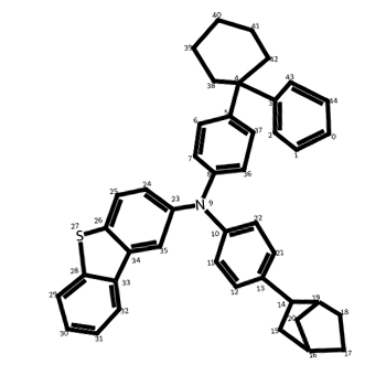 c1ccc(C2(c3ccc(N(c4ccc(C5CC6CCC5C6)cc4)c4ccc5sc6ccccc6c5c4)cc3)CCCCC2)cc1